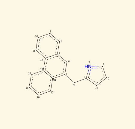 c1c[nH]c(Cc2cc3ccccc3c3ccccc23)c1